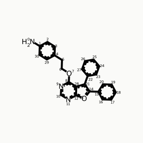 Nc1ccc(CCOc2ncnc3oc(-c4ccccc4)c(-c4ccccc4)c23)cc1